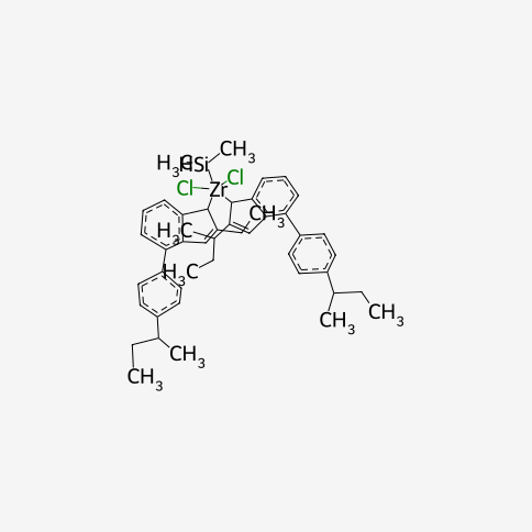 CCC1=Cc2c(-c3ccc(C(C)CC)cc3)cccc2[CH]1[Zr]([Cl])([Cl])([CH]1C(C(C)CC)=Cc2c(-c3ccc(C(C)CC)cc3)cccc21)[SiH](C)C